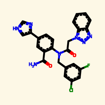 NC(=O)c1cc(-c2c[nH]cn2)ccc1N(Cc1cc(F)cc(Cl)c1)C(=O)Cn1nnc2ccccc21